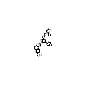 O=C1OCCN1CCOc1nc(N/N=C2\CCCc3cc(O)ccc32)cc(N2CCOCC2)n1